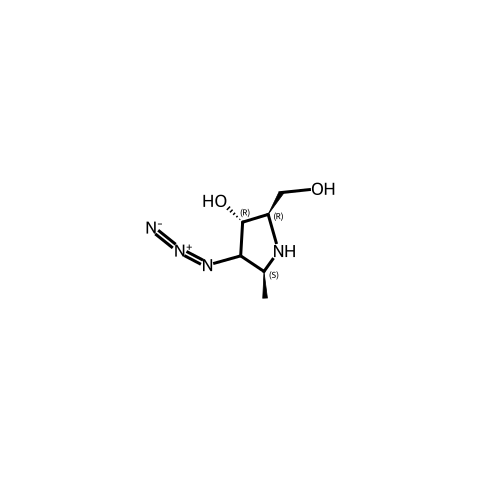 C[C@@H]1N[C@H](CO)[C@@H](O)C1N=[N+]=[N-]